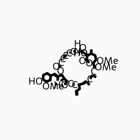 C=CCC1C=C(C)CC(C)CC(OC)C2OC(=O)C(O)(C(=O)NCCCCCC(=O)OC(C(C)=CC3CCC(O)C(OC)C3)C(C)C(O)CC1)C(C)CC2OC